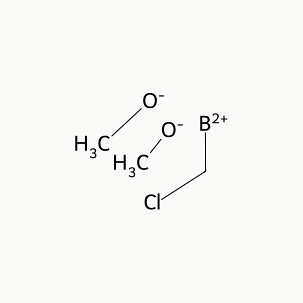 C[O-].C[O-].[B+2]CCl